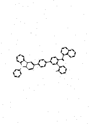 C=C(c1ccc(-c2ccc(C3=CC4c5ccccc5N(c5ccccc5)C4C=C3)cc2)cc1-c1ccccc1C)c1cccc2ccccc12